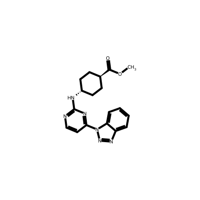 COC(=O)[C@H]1CC[C@H](Nc2nccc(-n3nnc4ccccc43)n2)CC1